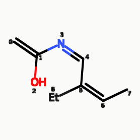 C=C(O)/N=C\C(=C/C)CC